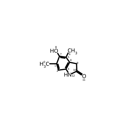 Cc1cc2c(c(C)c1O)CC(=O)N2